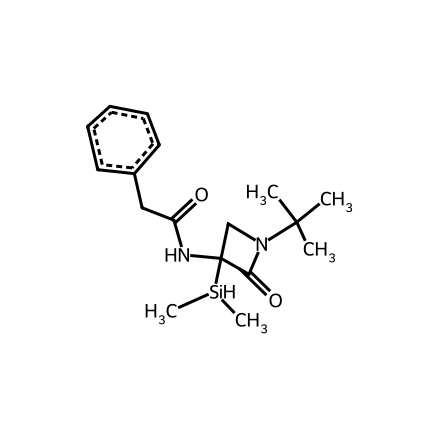 C[SiH](C)C1(NC(=O)Cc2ccccc2)CN(C(C)(C)C)C1=O